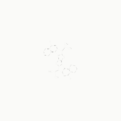 N#CC(C#N)=C1c2cc(F)c3ccccc3c2-c2c1sc1c3c(sc21)C(=C(C#N)C#N)c1cc(F)c2ccccc2c1-3